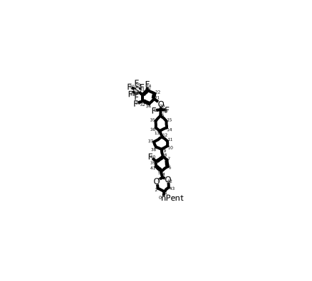 CCCCCC1COC(c2ccc(C3CCC(C4CCC(C(F)(F)Oc5cc(F)c(S(F)(F)(F)(F)F)c(F)c5)CC4)CC3)c(F)c2)OC1